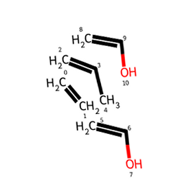 C=C.C=CC.C=CO.C=CO